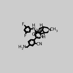 CN1C[C@@H]2CN(C(=O)Nc3cc(F)cc(F)c3)C[C@H](C1)C2(O)c1ccc(-c2ccc(CN)cc2C#N)cn1